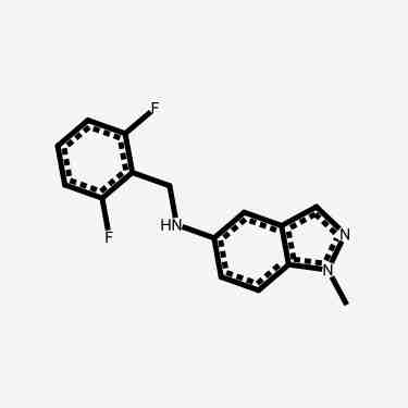 Cn1ncc2cc(NCc3c(F)cccc3F)ccc21